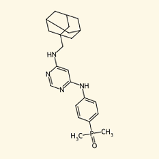 CP(C)(=O)c1ccc(Nc2cc(NCC34CC5CC(CC(C5)C3)C4)ncn2)cc1